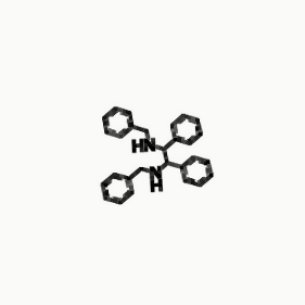 c1ccc(CNC(c2ccccc2)C(NCc2ccccc2)c2ccccc2)cc1